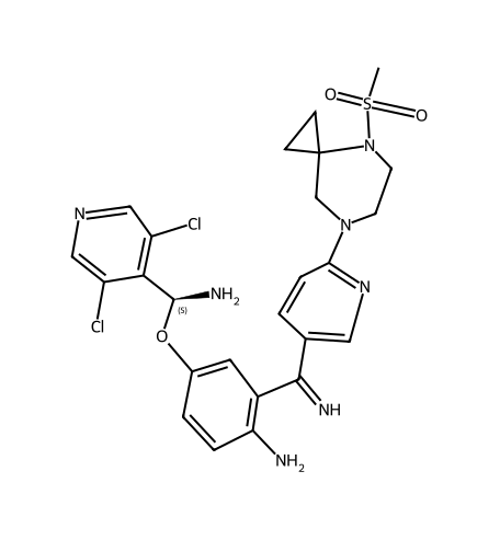 CS(=O)(=O)N1CCN(c2ccc(C(=N)c3cc(O[C@H](N)c4c(Cl)cncc4Cl)ccc3N)cn2)CC12CC2